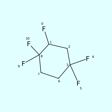 FC1CC(F)(F)CCC1(F)F